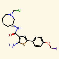 Nc1sc(-c2ccc(OCI)cc2)cc1C(=O)N[C@H]1CCCCN(CCl)C1